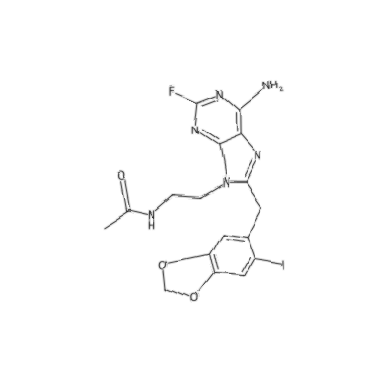 CC(=O)NCCn1c(Cc2cc3c(cc2I)OCO3)nc2c(N)nc(F)nc21